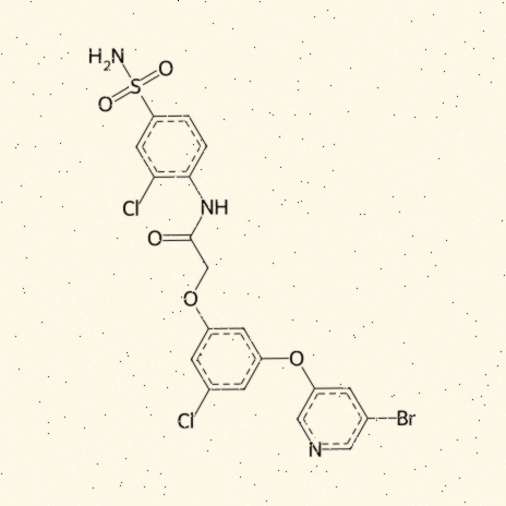 NS(=O)(=O)c1ccc(NC(=O)COc2cc(Cl)cc(Oc3cncc(Br)c3)c2)c(Cl)c1